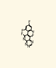 Fc1cc(F)c(-c2c(F)nc3nncnc3c2F)c(F)c1